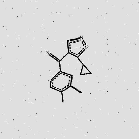 Cc1ccc(C(=S)c2cnoc2C2CC2)cc1C